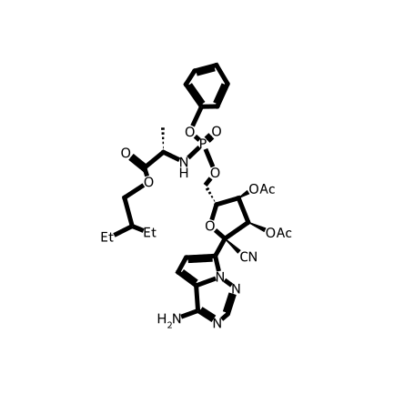 CCC(CC)COC(=O)[C@H](C)NP(=O)(OC[C@H]1O[C@@](C#N)(c2ccc3c(N)ncnn23)[C@H](OC(C)=O)[C@@H]1OC(C)=O)Oc1ccccc1